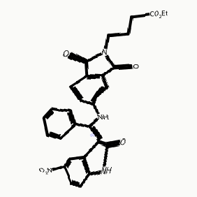 CCOC(=O)CCCN1C(=O)c2ccc(N/C(=C3\C(=O)Nc4ccc([N+](=O)[O-])cc43)c3ccccc3)cc2C1=O